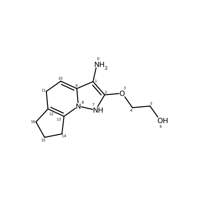 NC1=C(OCCO)NN2C1=CCC1=C2CCC1